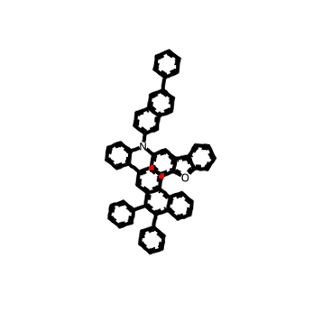 c1ccc(-c2ccc3cc(N(c4ccc5oc6ccccc6c5c4)c4ccccc4-c4ccc5c(c4)c(-c4ccccc4)c(-c4ccccc4)c4ccccc45)ccc3c2)cc1